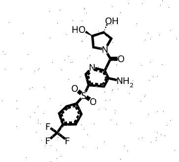 Nc1cc(S(=O)(=O)c2ccc(C(F)(F)F)cc2)cnc1C(=O)N1C[C@@H](O)[C@H](O)C1